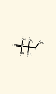 CC(C)(CC=O)P(=O)(O)O